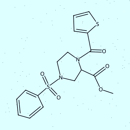 COC(=O)C1CN(S(=O)(=O)c2ccccc2)CCN1C(=O)c1cccs1